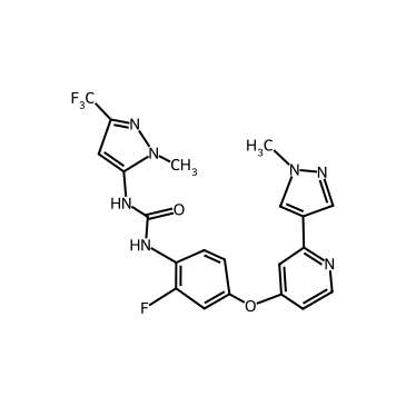 Cn1cc(-c2cc(Oc3ccc(NC(=O)Nc4cc(C(F)(F)F)nn4C)c(F)c3)ccn2)cn1